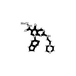 CONC(=O)c1cn(-c2ccc3c(c2)CCC3)c2nc(NCCN3CCOCC3)ncc2c1=O